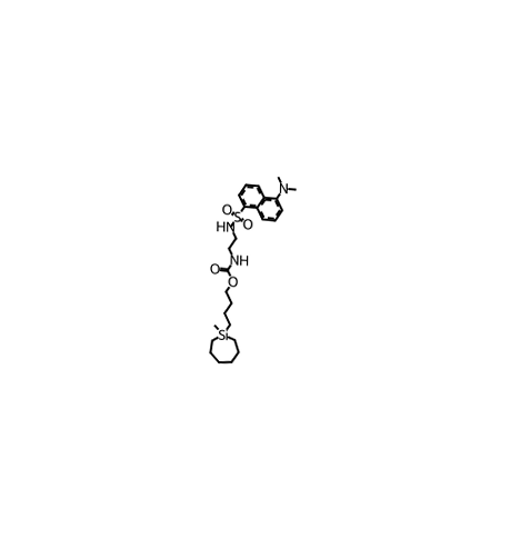 CN(C)c1cccc2c(S(=O)(=O)NCCNC(=O)OCCCC[Si]3(C)CCCCCC3)cccc12